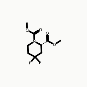 COC(=O)[C@@H]1CC(F)(F)CCN1C(=O)OC